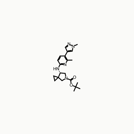 Cc1nc(N[C@@H]2CN(C(=O)OC(C)(C)C)CC23CC3)ccc1-c1cnn(C)c1